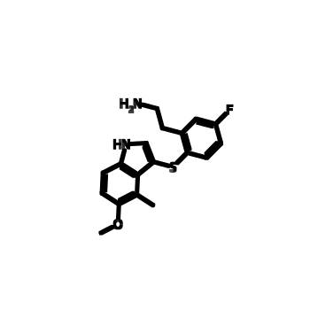 COc1ccc2[nH]cc(Sc3ccc(F)cc3CCN)c2c1C